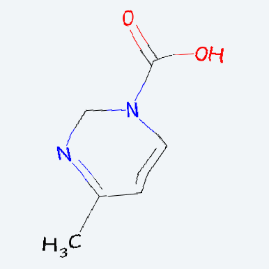 CC1=NCN(C(=O)O)C=C1